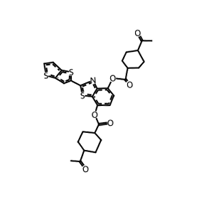 CC(=O)C1CCC(C(=O)Oc2ccc(OC(=O)C3CCC(C(C)=O)CC3)c3sc(-c4cc5sccc5s4)nc23)CC1